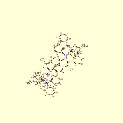 CC(C)c1cc(N(c2cccc3c2CCCC3)c2cccc3c4ccccc4n(-c4cccc(C(C)(C)C)c4)c23)c2ccc3c(C(C)C)cc(N(c4cccc5c4CCCC5)c4cccc5c6ccccc6n(-c6cccc(C(C)(C)C)c6)c45)c4ccc1c2c34